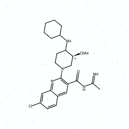 CO[C@H]1CN(c2nc3cc(Cl)ccc3cc2C(=O)NC(C)=N)CCC1NC1CCCCC1